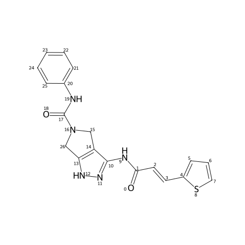 O=C(C=Cc1cccs1)Nc1n[nH]c2c1CN(C(=O)Nc1ccccc1)C2